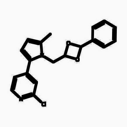 Cc1ccc(-c2ccnc(Cl)c2)n1CC1OC(c2ccccc2)O1